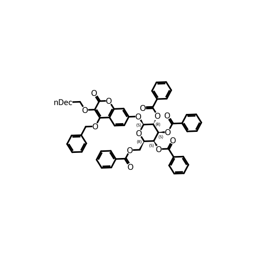 CCCCCCCCCCCOc1c(OCc2ccccc2)c2ccc(O[C@@H]3O[C@H](COC(=O)c4ccccc4)[C@H](OC(=O)c4ccccc4)[C@H](OC(=O)c4ccccc4)[C@H]3OC(=O)c3ccccc3)cc2oc1=O